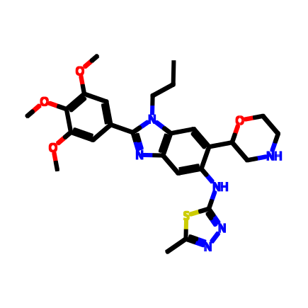 CCCn1c(-c2cc(OC)c(OC)c(OC)c2)nc2cc(Nc3nnc(C)s3)c(C3CNCCO3)cc21